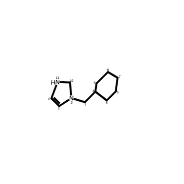 C1=CN(CC2CCCCC2)CN1